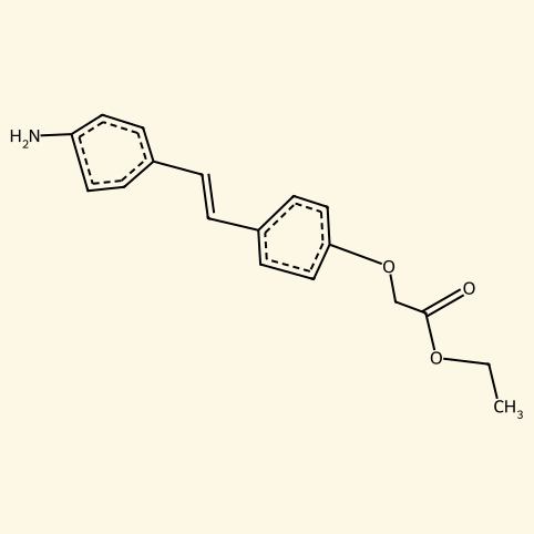 CCOC(=O)COc1ccc(C=Cc2ccc(N)cc2)cc1